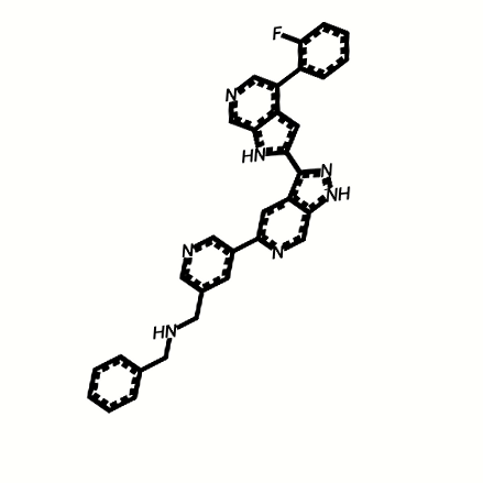 Fc1ccccc1-c1cncc2[nH]c(-c3n[nH]c4cnc(-c5cncc(CNCc6ccccc6)c5)cc34)cc12